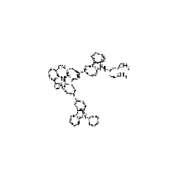 C=C/C=C(\C=C/C)n1c2ccccc2c2cc(-c3ccc4c(c3)c3cc(-c5ccc6c(c5)c5ccccc5n6-c5ccccc5)ccc3n4-c3c(C#N)cccc3C#N)ccc21